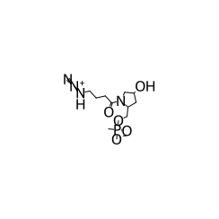 CP(=O)([O-])OCC1CC(O)CN1C(=O)CCCN[N+]#N